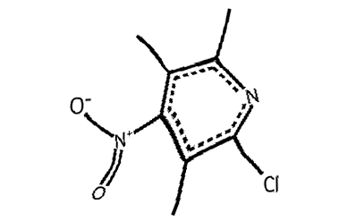 Cc1nc(Cl)c(C)c([N+](=O)[O-])c1C